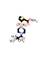 COC(=O)c1sccc1S(=O)(=O)N1CCN(C(=O)C(C)(C)C)CC1